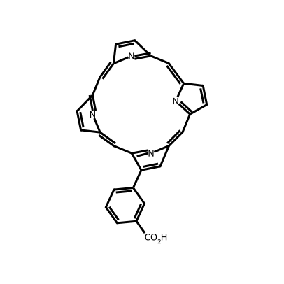 O=C(O)c1cccc(C2=CC3=CC4=NC(=CC5=NC(=CC6=NC(=CC2=N3)C=C6)C=C5)C=C4)c1